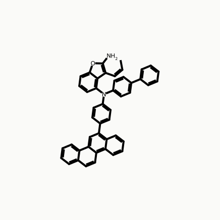 C/C=C\c1c(N)oc2cccc(N(c3ccc(-c4ccccc4)cc3)c3ccc(-c4cc5c6ccccc6ccc5c5ccccc45)cc3)c12